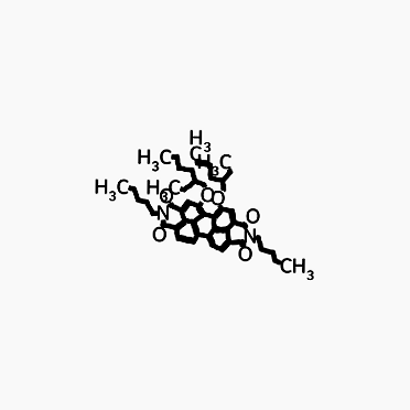 CCCCCN1C(=O)c2ccc3c4ccc5c6c(cc(OCC(CC)CCCC)c(c7c(OCC(CC)CCCC)cc(c2c37)C1=O)c64)C(=O)N(CCCCC)C5=O